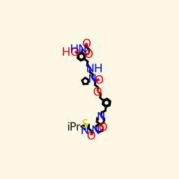 CC(C)c1nc(C(=O)N2CCOC3(CCN(CCc4cccc(CCOCCC(=O)N(CCNCCc5ccc(O)c6c5OCC(=O)N6)C5CCCC5)c4)CC3)C2)cs1